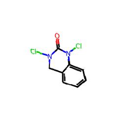 O=C1N(Cl)Cc2ccccc2N1Cl